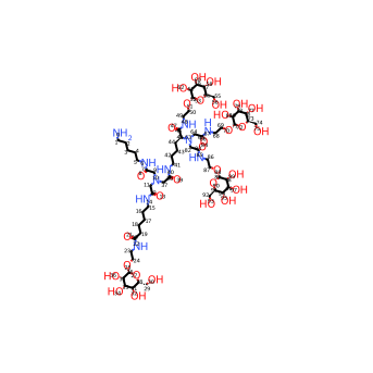 NCCCCCNC(=O)CN(CC(=O)NCCCCCC(=O)NCCO[C@H]1O[C@H](CO)[C@@H](O)[C@H](O)[C@@H]1O)CC(=O)NCCCC[C@@H](C(=O)NCCO[C@H]1O[C@H](CO)[C@@H](O)[C@H](O)[C@@H]1O)N(CC(=O)NCCO[C@H]1O[C@H](CO)[C@@H](O)[C@H](O)[C@@H]1O)CC(=O)NCCO[C@H]1O[C@H](CO)[C@@H](O)[C@H](O)[C@@H]1O